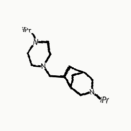 CC(C)N1CCN(CC2CC3CC2CN(C(C)C)C3)CC1